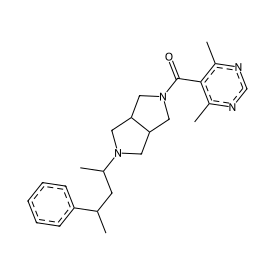 Cc1ncnc(C)c1C(=O)N1CC2CN(C(C)CC(C)c3ccccc3)CC2C1